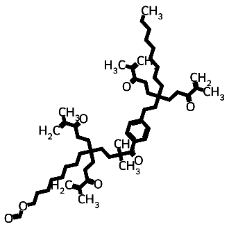 C=C(C)C(=O)CCC(CCCCCCCCC)(CCC(=O)C(=C)C)CCc1ccc(C(=O)C(C)(C)CCC(CCCCCCCCOC=O)(CCC(=O)C(=C)C)CCC(=O)C(=C)C)cc1